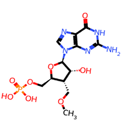 COC[C@H]1[C@@H](O)[C@H](n2cnc3c(=O)[nH]c(N)nc32)O[C@@H]1COP(=O)(O)O